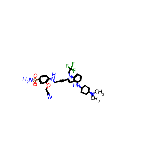 CN(C)C1CCC(Nc2cccc3c2cc(C#CCNc2ccc(S(N)(=O)=O)cc2OCC#N)n3CC(F)(F)F)CC1